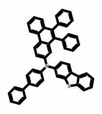 c1ccc(-c2ccc(N(c3ccc4c(c3)sc3ccccc34)c3ccc4c(c3)c(-c3ccccc3)c(-c3ccccc3)c3ccccc34)cc2)cc1